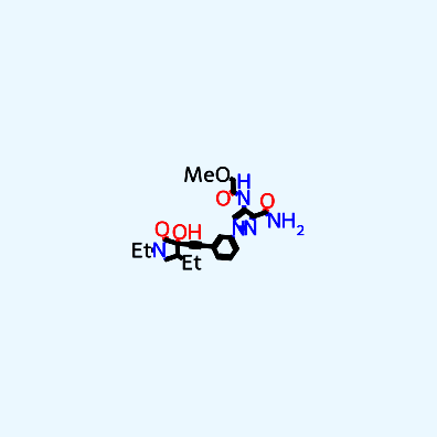 CCC1CN(CC)C(=O)C1(O)C#Cc1cccc(-n2cc(NC(=O)COC)c(C(N)=O)n2)c1